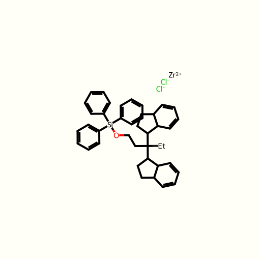 CCC(CCO[Si](c1ccccc1)(c1ccccc1)c1ccccc1)(C1CCC2C=CC=CC21)C1CCC2C=CC=CC21.[Cl-].[Cl-].[Zr+2]